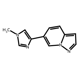 Cn1cnc(-c2ccc3ccnn3c2)c1